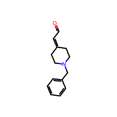 O=CC=C1CCN(Cc2ccccc2)CC1